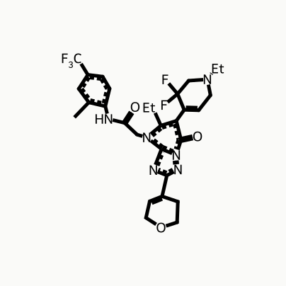 CCc1c(C2=CCN(CC)CC2(F)F)c(=O)n2nc(C3=CCOCC3)nc2n1CC(=O)Nc1ccc(C(F)(F)F)cc1C